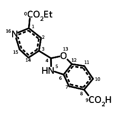 CCOC(=O)c1cc(C2Nc3cc(C(=O)O)ccc3O2)ccn1